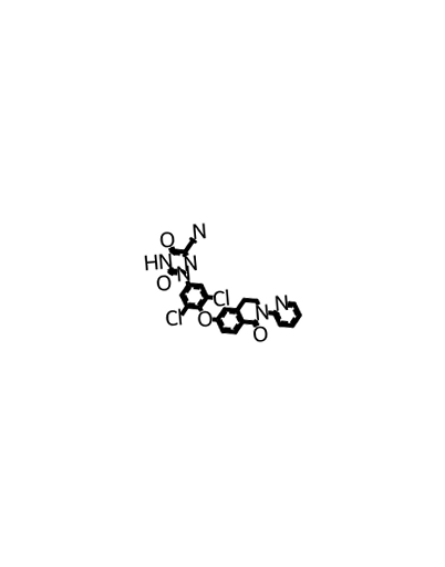 N#Cc1nn(-c2cc(Cl)c(Oc3ccc4c(c3)CCN(c3ccccn3)C4=O)c(Cl)c2)c(=O)[nH]c1=O